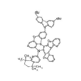 CC(C)(C)c1ccc2c(c1)c1cc(C(C)(C)C)ccc1n2-c1ccc2c(c1)Oc1cccc3c1B2c1c(c2oc4ccccc4c2c2c1oc1ccccc12)N3c1ccc2c(c1)C(C)(C)CCC2(C)C